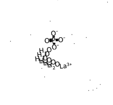 O.O.O.O.O.O.O=P([O-])([O-])[O-].[La+3]